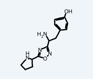 NC(Cc1ccc(O)cc1)c1noc(C2CCCN2)n1